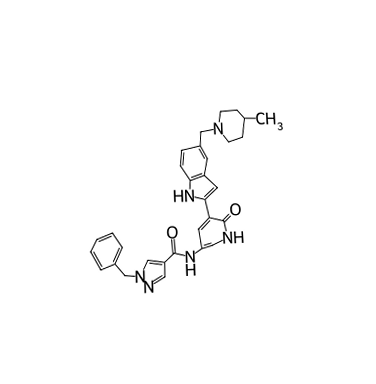 CC1CCN(Cc2ccc3[nH]c(-c4cc(NC(=O)c5cnn(Cc6ccccc6)c5)c[nH]c4=O)cc3c2)CC1